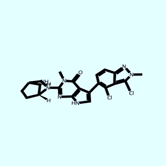 Cn1nc2ccc(-c3c[nH]c4nc(N5CC6CC[C@@H]5[C@@H]6N)n(C)c(=O)c34)c(Cl)c2c1Cl